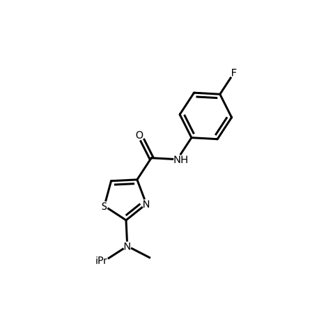 CC(C)N(C)c1nc(C(=O)Nc2ccc(F)cc2)cs1